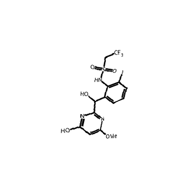 COc1cc(O)nc(C(O)c2cccc(I)c2NS(=O)(=O)CC(F)(F)F)n1